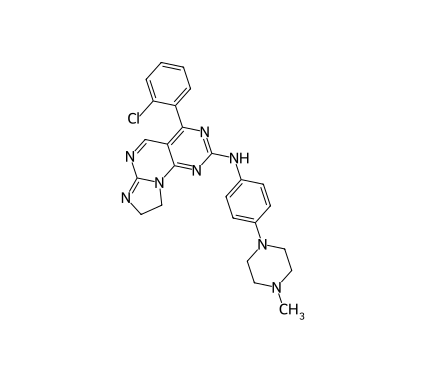 CN1CCN(c2ccc(Nc3nc(-c4ccccc4Cl)c4c(n3)N3CCN=C3N=C4)cc2)CC1